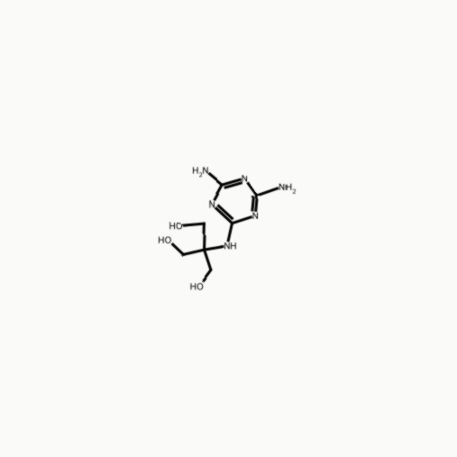 Nc1nc(N)nc(NC(CO)(CO)CO)n1